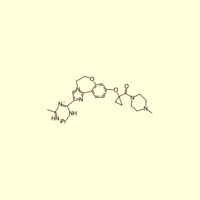 CC(=N)/N=C(\NC(C)C)c1cn2c(n1)-c1ccc(OC3(C(=O)N4CCN(C)CC4)CC3)cc1OCC2